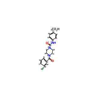 O=C(O)c1ccc(NC(=O)N2CCN(C(=O)c3cccc(F)c3)CC2)cc1